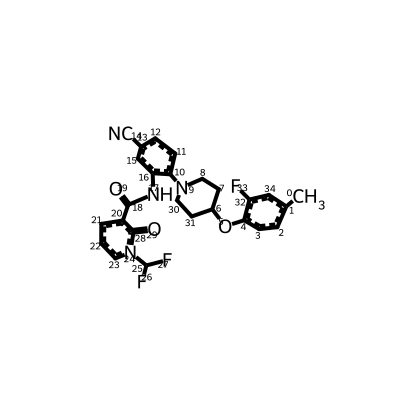 Cc1ccc(OC2CCN(c3ccc(C#N)cc3NC(=O)c3cccn(C(F)F)c3=O)CC2)c(F)c1